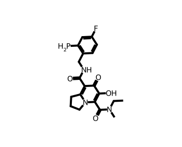 CCN(C)C(=O)c1c(O)c(=O)c(C(=O)NCc2ccc(F)cc2P)c2n1CCC2